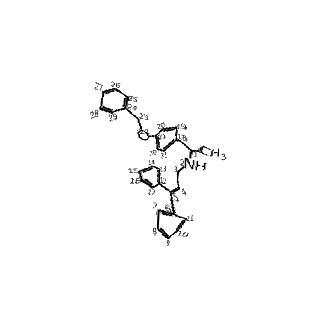 CC(NCCC(c1ccccc1)c1ccccc1)c1ccc(OCc2ccccc2)cc1